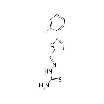 Cc1ccccc1-c1ccc(/C=N/NC(N)=S)o1